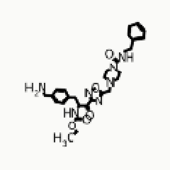 CCOC(=O)NC(Cc1ccc(CN)cc1)C(=O)c1noc(CN2CCN(C(=O)NCCc3ccccc3)CC2)n1